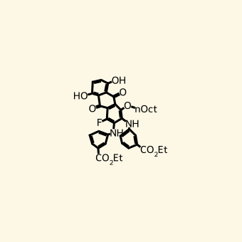 CCCCCCCCOc1c(Nc2cccc(C(=O)OCC)c2)c(Nc2cccc(C(=O)OCC)c2)c(F)c2c1C(=O)c1c(O)ccc(O)c1C2=O